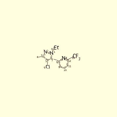 CCn1nc(C)c(Cl)c1-c1cccc(C(F)(F)F)n1